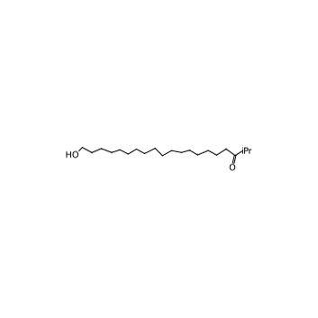 CC(C)C(=O)CCCCCCCCCCCCCCCCCO